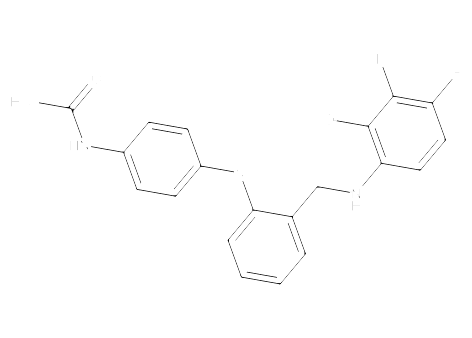 CC(=O)Nc1ccc(Sc2ccccc2CNc2ccc(F)c(F)c2O)cc1